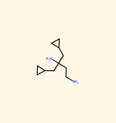 NCCC(N)(CC1CC1)CC1CC1